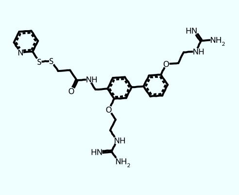 N=C(N)NCCOc1cccc(-c2ccc(CNC(=O)CCSSc3ccccn3)c(OCCNC(=N)N)c2)c1